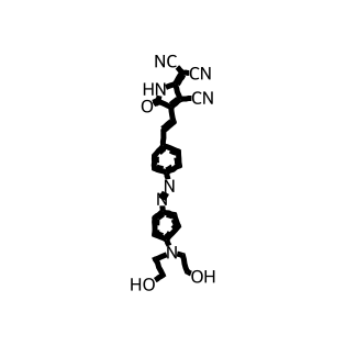 N#CC(C#N)=C1NC(=O)C(/C=C/c2ccc(/N=N/c3ccc(N(CCO)CCO)cc3)cc2)=C1C#N